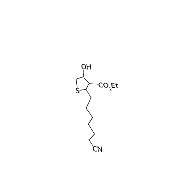 CCOC(=O)C1C(O)CSC1CCCCCCC#N